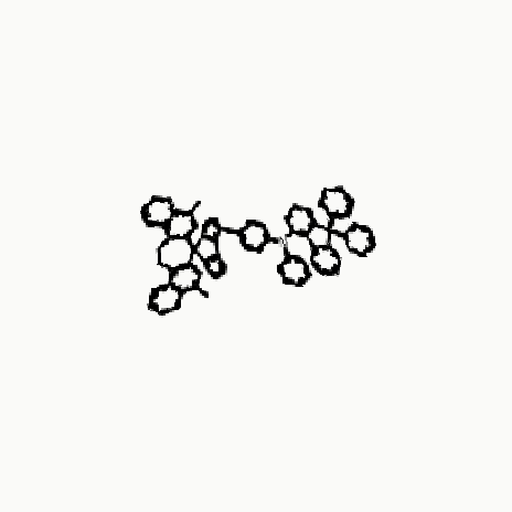 Cc1cc2c(c3ccccc13)CCc1c(cc(C)c3ccccc13)C21c2ccccc2-c2c(-c3ccc(N(c4ccccc4)c4cccc5c4-c4ccccc4C5(c4ccccc4)c4ccccc4)cc3)cccc21